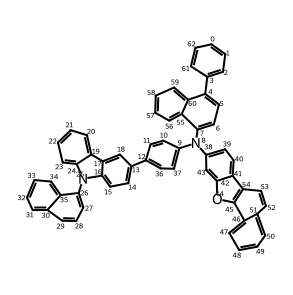 c1ccc(-c2ccc(N(c3ccc(-c4ccc5c(c4)c4ccccc4n5-c4cccc5ccccc45)cc3)c3ccc4c(c3)oc3c5ccccc5ccc43)c3ccccc23)cc1